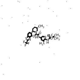 Cc1cc(NC(=O)C(=O)N2C[C@@H](C)CC[C@@H]2c2ccc3sc(C(F)(F)F)nc3c2)cnc1NC(=O)OC(C)(C)C